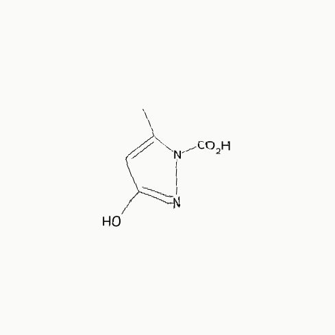 Cc1cc(O)nn1C(=O)O